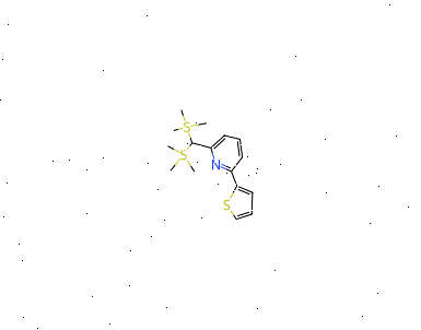 CS(C)(C)C(c1cccc(-c2cccs2)n1)S(C)(C)C